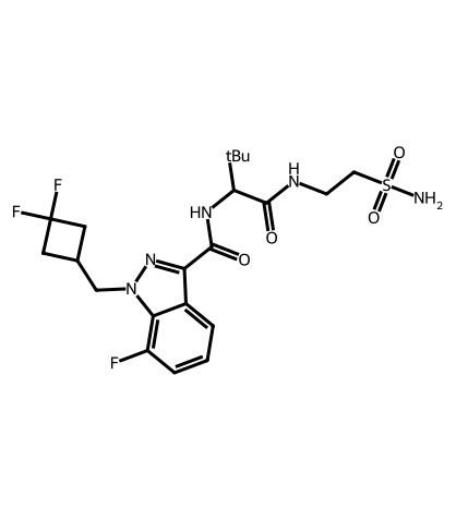 CC(C)(C)C(NC(=O)c1nn(CC2CC(F)(F)C2)c2c(F)cccc12)C(=O)NCCS(N)(=O)=O